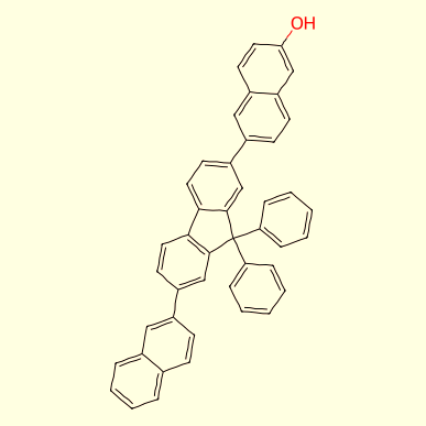 Oc1ccc2cc(-c3ccc4c(c3)C(c3ccccc3)(c3ccccc3)c3cc(-c5ccc6ccccc6c5)ccc3-4)ccc2c1